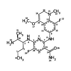 CCCC(Nc1nc(Nc2cc(F)c3c(c2)C(OC)=CCN3C)c(C(N)=O)cc1F)[C@H](C)N